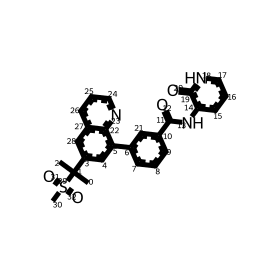 CC(C)(c1cc(-c2cccc(C(=O)Nc3ccc[nH]c3=O)c2)c2ncccc2c1)S(C)(=O)=O